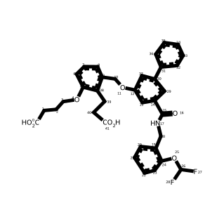 O=C(O)CCCOc1cccc(COc2cc(C(=O)NCc3ccccc3OC(F)F)cc(-c3ccccc3)c2)c1CCC(=O)O